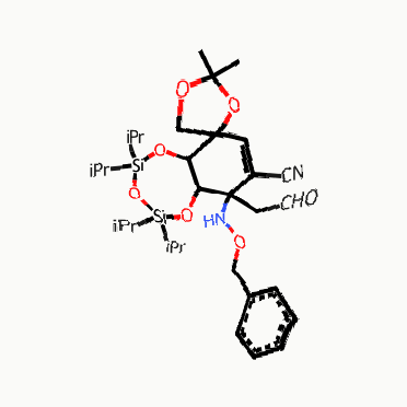 CC(C)[Si]1(C(C)C)OC2C(O[Si](C(C)C)(C(C)C)O1)C(CC=O)(NOCc1ccccc1)C(C#N)=CC21COC(C)(C)O1